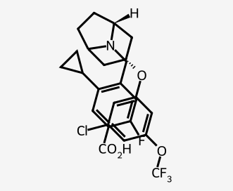 O=C(O)c1cc(C2CC2)c(CN2C3CC[C@@H]2C[C@H](Oc2cc(Cl)cc(OC(F)(F)F)c2)C3)cc1F